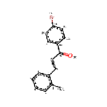 CCc1ccccc1C=CC(=O)c1ccc(Br)cc1